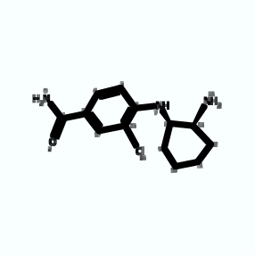 NC(=O)c1ccc(N[C@@H]2CCCC[C@@H]2N)c(Cl)c1